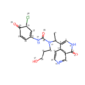 CC(c1c[nH]c(=O)c2cnccc12)N(CCCO)C(=O)NC1=CC(Cl)C(=O)C=C1